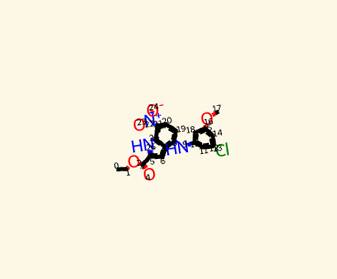 CCOC(=O)c1cc2c(Nc3cc(Cl)cc(OC)c3)ccc([N+](=O)[O-])c2[nH]1